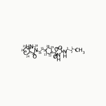 CCCCNC(=O)NS(=O)(=O)c1ccc(CCN2CNc3ccccc3C2=O)cc1